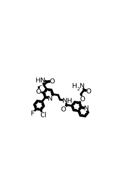 NC(=O)COc1cc(C(=O)NCCc2cc3c(c(-c4ccc(F)c(Cl)c4)n2)OC[C@@]32NC2=O)cc2cccnc12